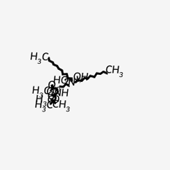 CCCCCCCCCC[C@H](O)CN(CCCC[C@H](NC(=O)OC(C)(C)C)C(=O)OC)C[C@@H](O)CCCCCCCCCC